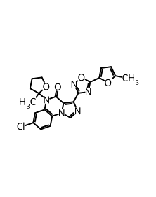 Cc1ccc(-c2nc(-c3ncn4c3c(=O)n(C3(C)CCCO3)c3cc(Cl)ccc34)no2)o1